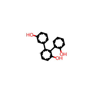 Oc1cccc(-c2[c]ccc(O)c2-c2ccccc2O)c1